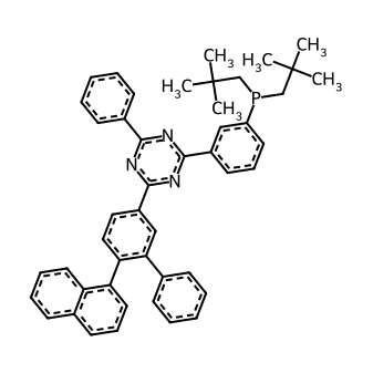 CC(C)(C)CP(CC(C)(C)C)c1cccc(-c2nc(-c3ccccc3)nc(-c3ccc(-c4cccc5ccccc45)c(-c4ccccc4)c3)n2)c1